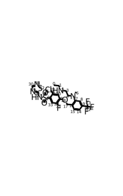 CCNCCN(C)c1cc(C(F)(F)F)ccc1COc1cc(Cl)c(S(=O)(=O)Nc2ncns2)cc1F